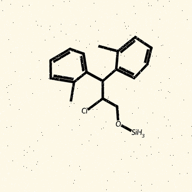 Cc1ccccc1C(c1ccccc1C)C(Cl)CO[SiH3]